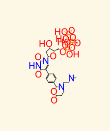 CN(C)CCN1CCC(=O)OC1c1ccc(-c2cn([C@H]3CC(O)[C@@H](COP(=O)(O)OP(=O)(O)OP(=O)(O)O)O3)c(=O)[nH]c2=O)cc1